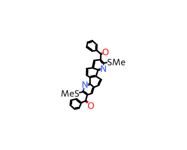 CSc1nc2c(ccc3c2ccc2cc(C(=O)c4ccccc4)c(SC)nc23)cc1C(=O)c1ccccc1